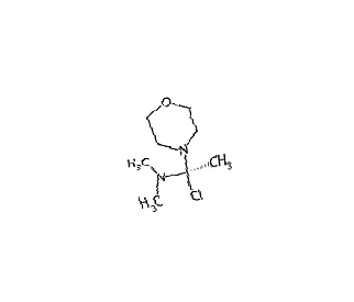 CN(C)[C@](C)(Cl)N1CCOCC1